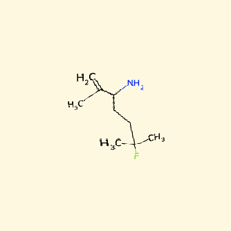 C=C(C)C(N)CCC(C)(C)F